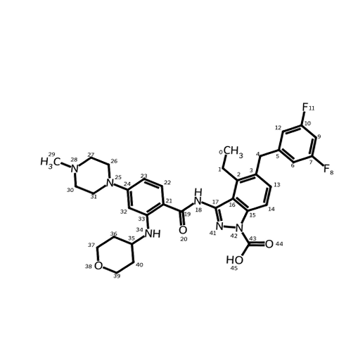 CCc1c(Cc2cc(F)cc(F)c2)ccc2c1c(NC(=O)c1ccc(N3CCN(C)CC3)cc1NC1CCOCC1)nn2C(=O)O